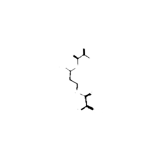 C=C(F)C(=O)OCCC(C)OC(=O)C(=C)F